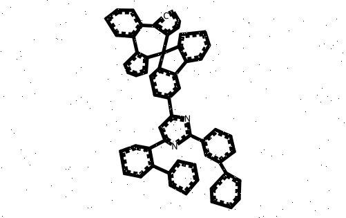 c1ccc(-c2cccc(-c3nc(-c4ccc5c(c4)-c4ccccc4C54c5ccccc5-c5ccccc5-c5ccccc54)cc(-c4ccccc4-c4ccccc4)n3)c2)cc1